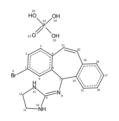 Brc1ccc2c(c1)C(N=C1NCCN1)c1ccccc1C=C2.O=P(O)(O)O